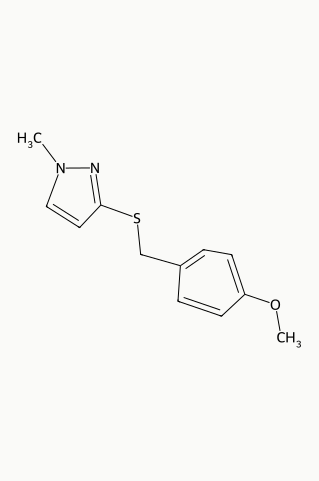 COc1ccc(CSc2ccn(C)n2)cc1